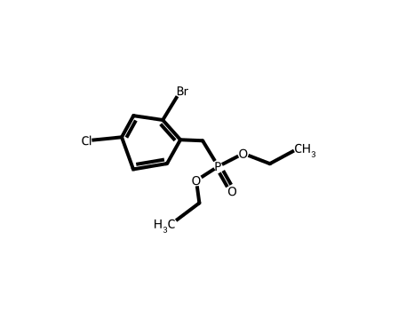 CCOP(=O)(Cc1ccc(Cl)cc1Br)OCC